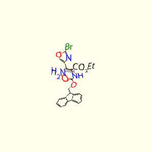 CCOC(=O)[C@@H](NC(=O)OCC1c2ccccc2-c2ccccc21)[C@H](N)c1coc(Br)n1